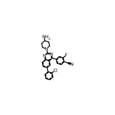 N#Cc1ccc(-c2nc(N3CCC(N)CC3)nc3ccc(-c4ccccc4Cl)cc23)cc1F